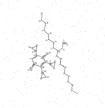 CCCCCCCCCCC([CH2][AlH2])CCCCCCCC.O=C1C=C(N2CC2)C(=O)C(N2CC2)=C1N1CC1